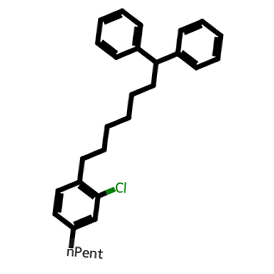 CCCCCc1ccc(CCCCCCC(c2ccccc2)c2ccccc2)c(Cl)c1